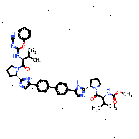 COC(=O)N[C@H](C(=O)N1CCC[C@H]1c1ncc(-c2ccc(-c3ccc(-c4cnc([C@@H]5CCCN5C(=O)[C@@H](NC(=NC#N)Oc5ccccc5)C(C)C)[nH]4)cc3)cc2)[nH]1)C(C)C